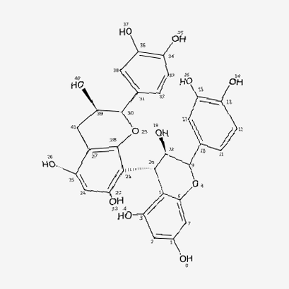 Oc1cc(O)c2c(c1)OC(c1ccc(O)c(O)c1)[C@H](O)[C@H]2c1c(O)cc(O)c2c1OC(c1ccc(O)c(O)c1)[C@H](O)C2